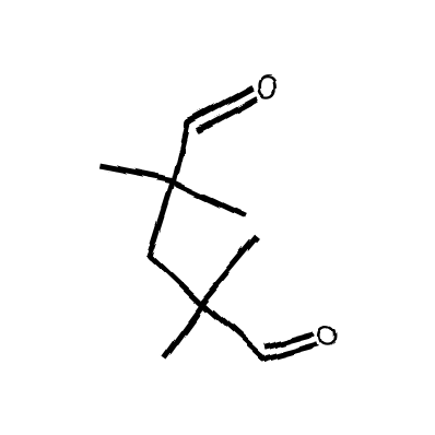 CC(C)(C=O)CC(C)(C)C=O